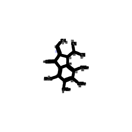 C/C=C1/C(=O)c2c(OC)c(OC)c(OC)c(OC)c2C1C(C#N)C#N